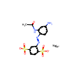 CC(=O)Nc1cc(N)ccc1N=Nc1cc(S(=O)(=O)[O-])ccc1S(=O)(=O)[O-].[Na+].[Na+]